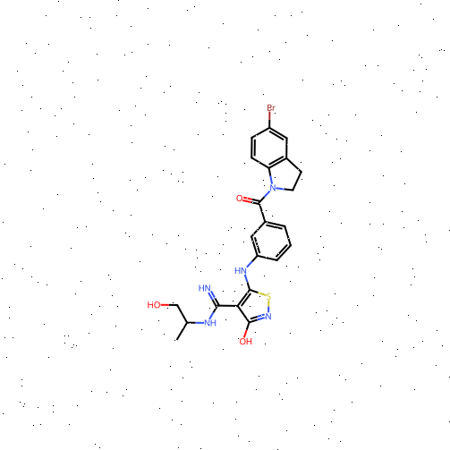 CC(CO)NC(=N)c1c(O)nsc1Nc1cccc(C(=O)N2CCc3cc(Br)ccc32)c1